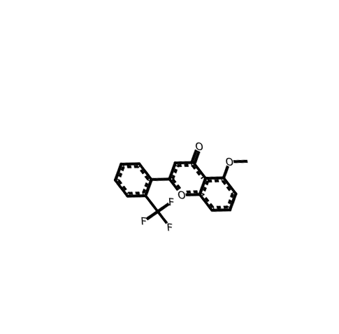 COc1cccc2oc(-c3ccccc3C(F)(F)F)cc(=O)c12